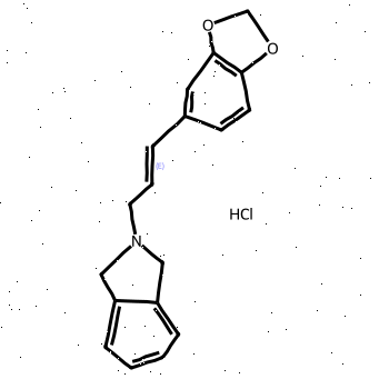 C(=C\c1ccc2c(c1)OCO2)/CN1Cc2ccccc2C1.Cl